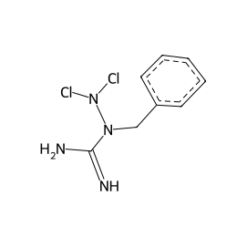 N=C(N)N(Cc1ccccc1)N(Cl)Cl